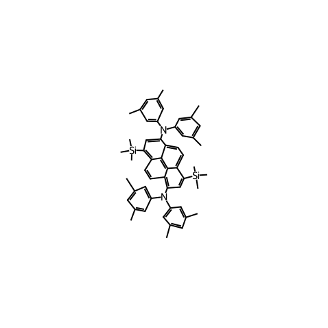 Cc1cc(C)cc(N(c2cc(C)cc(C)c2)c2cc([Si](C)(C)C)c3ccc4c(N(c5cc(C)cc(C)c5)c5cc(C)cc(C)c5)cc([Si](C)(C)C)c5ccc2c3c45)c1